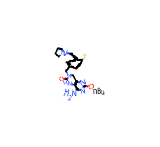 CCCCOc1nc(N)c2c(n1)CN(Cc1ccc(F)c(CN3CCCC3)c1)C(=O)N2